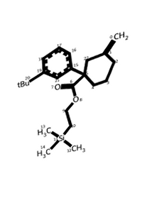 C=C1CCCC(C(=O)OCC[Si](C)(C)C)(c2cccc(C(C)(C)C)c2)C1